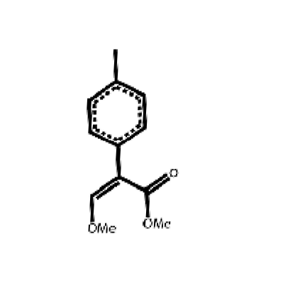 COC=C(C(=O)OC)c1ccc(C)cc1